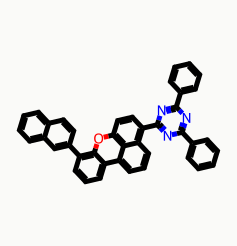 c1ccc(-c2nc(-c3ccccc3)nc(-c3ccc4c5c(cccc35)-c3cccc(-c5ccc6ccccc6c5)c3O4)n2)cc1